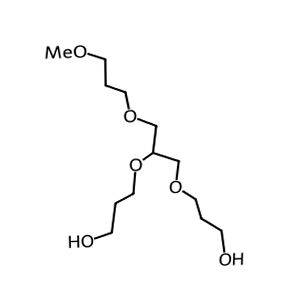 COCCCOCC(COCCCO)OCCCO